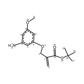 C=C(COc1cc(N)cc(OC)c1)C(=O)OC(C)(C)C